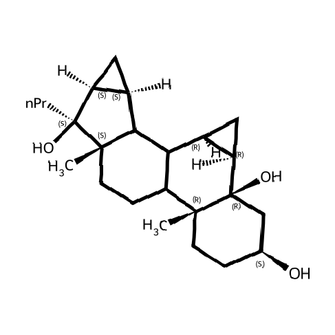 CCC[C@]1(O)[C@H]2C[C@H]2C2C3C(CC[C@@]21C)[C@@]1(C)CC[C@H](O)C[C@@]1(O)[C@@H]1C[C@H]31